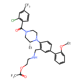 CCOc1ccccc1-c1ccc(N2CCN(C(=O)c3ccc(C(F)(F)F)cc3Cl)C[C@H]2CC)c(CNCCOC(=O)C(F)(F)F)c1